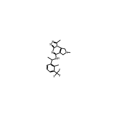 Cc1c(C(C)Nc2nc3nnc(C)n3c3c2CN(C)C3)cccc1C(F)(F)F